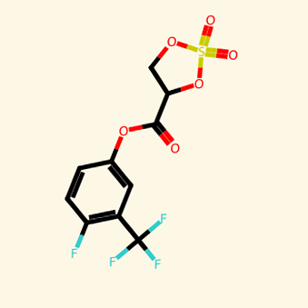 O=C(Oc1ccc(F)c(C(F)(F)F)c1)C1COS(=O)(=O)O1